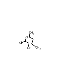 CCCCC.OCC(Cl)Cl